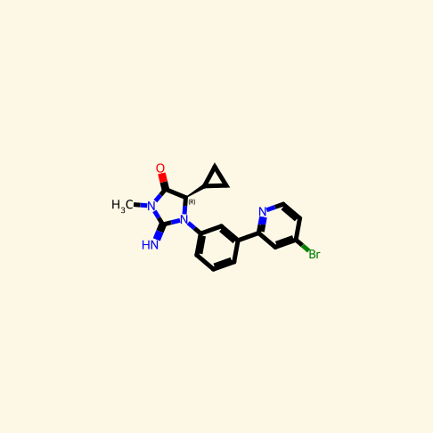 CN1C(=N)N(c2cccc(-c3cc(Br)ccn3)c2)[C@H](C2CC2)C1=O